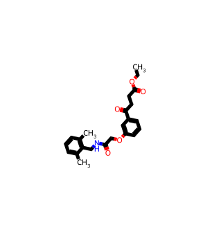 CCOC(=O)CCC(=O)c1cccc(OCC(=O)NCc2c(C)cccc2C)c1